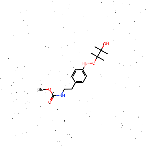 CC(C)(C)OC(=O)NCCc1ccc(BOC(C)(C)C(C)(C)O)cc1